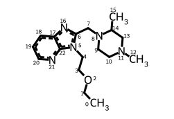 CCOCCn1c(CN2CCN(C)CC2C)nc2cccnc21